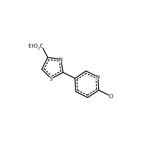 CCOC(=O)c1csc(-c2ccc(Cl)nc2)n1